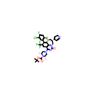 C[C@@H]1CN(c2nc(=O)n3c4c(c(-c5cc(Cl)c(F)cc5F)c(C(F)(F)F)cc24)SC[C@H](c2ccncc2)C3)C[C@H](C)N1C(=O)OC(C)(C)C